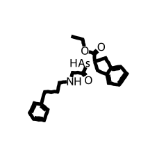 CCOC(=O)C1([AsH]C(=O)CNCCCc2ccccc2)Cc2ccccc2C1